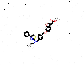 CCCN(Cc1ccc(COc2ccc3c(c2)OCC3CC(=O)OC)cc1)c1nc(-c2ccccc2)cs1